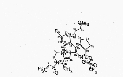 C=CC(=O)N1CCn2nc(-c3nc(OS(=O)(=O)C(F)(F)F)c4c(c3-c3c(F)cc(F)cc3OCCOC)CCC4)cc2[C@H]1C